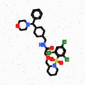 O=C(COCC1CCCCN1S(=O)(=O)c1c(Cl)cc(Cl)cc1Cl)NCC1CCC(C(c2ccccc2)N2CCOCC2)CC1